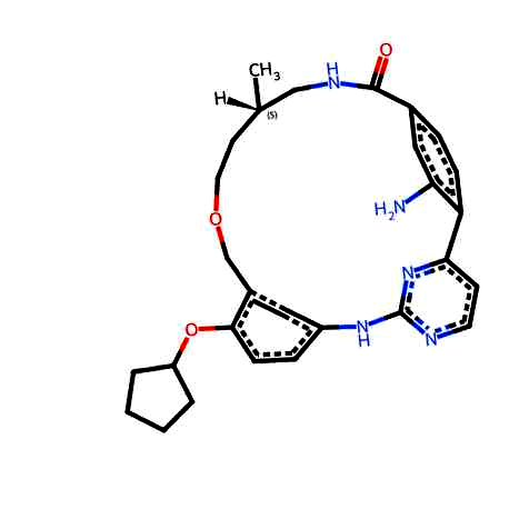 C[C@H]1CCOCc2cc(ccc2OC2CCCC2)Nc2nccc(n2)-c2ccc(cc2N)C(=O)NC1